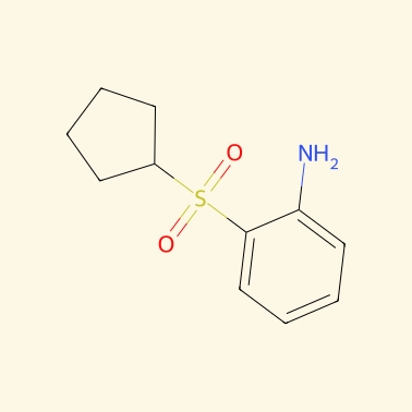 Nc1ccccc1S(=O)(=O)C1CCCC1